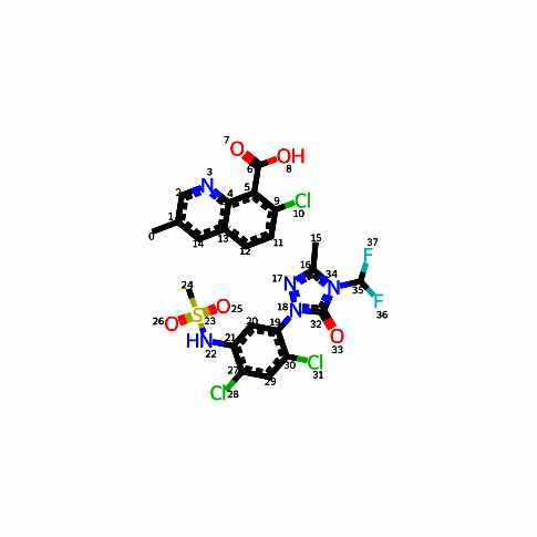 Cc1cnc2c(C(=O)O)c(Cl)ccc2c1.Cc1nn(-c2cc(NS(C)(=O)=O)c(Cl)cc2Cl)c(=O)n1C(F)F